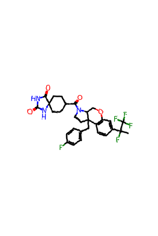 CC(F)(c1ccc2c(c1)OCC1N(C(=O)C3CCC4(CC3)NC(=O)NC4=O)CCC21Cc1ccc(F)cc1)C(F)(F)F